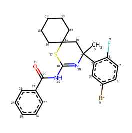 CC1(c2cc(Br)ccc2F)CC2(CCCCC2)SC(NC(=O)c2ccccc2)=N1